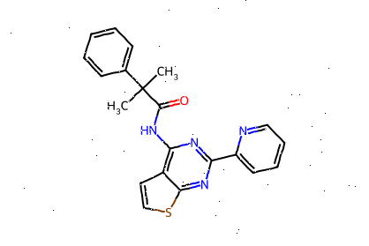 CC(C)(C(=O)Nc1nc(-c2ccccn2)nc2sccc12)c1ccccc1